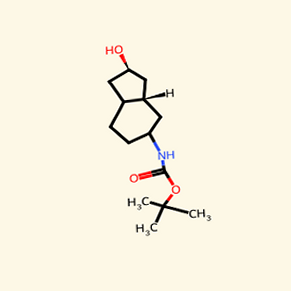 CC(C)(C)OC(=O)NC1CCC2C[C@@H](O)C[C@@H]2C1